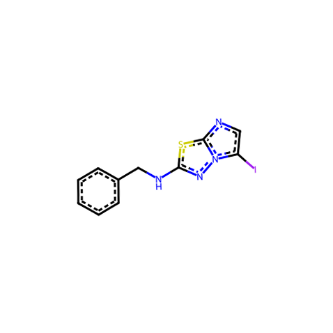 Ic1cnc2sc(NCc3ccccc3)nn12